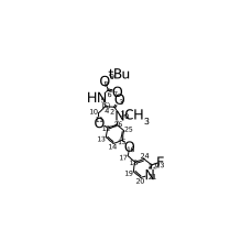 CN1C(=O)[C@@H](NC(=O)OC(C)(C)C)COc2ccc(OCc3ccnc(F)c3)cc21